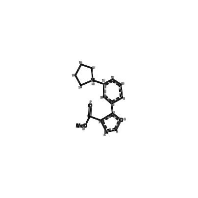 COC(=O)c1ncoc1-c1cccc(N2CCCC2)c1